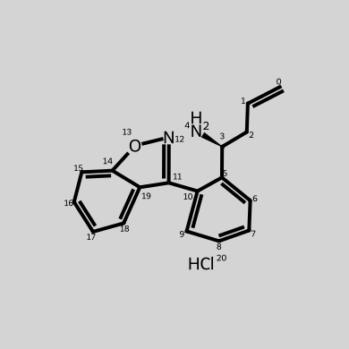 C=CC[C@H](N)c1ccccc1-c1noc2ccccc12.Cl